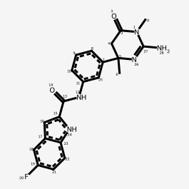 CN1C(=O)CC(C)(c2cccc(NC(=O)c3cc4cc(F)ccc4[nH]3)c2)N=C1N